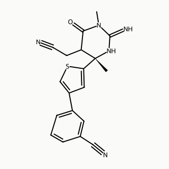 CN1C(=N)N[C@](C)(c2cc(-c3cccc(C#N)c3)cs2)C(CC#N)C1=O